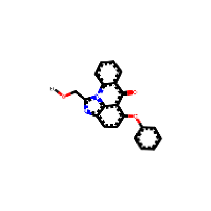 CCOCc1nc2ccc(Oc3ccccc3)c3c(=O)c4ccccc4n1c23